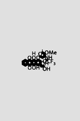 CO[C@@H]1[C@@H](NC(=O)C(F)(F)F)C[C@H](O[C@H]2CC(O)(CCO)Cc3c(O)c4c(c(O)c32)C(=O)c2ccccc2C4=O)O[C@@H]1C